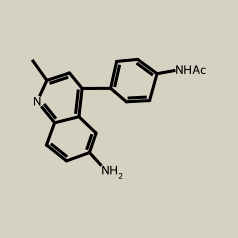 CC(=O)Nc1ccc(-c2cc(C)nc3ccc(N)cc23)cc1